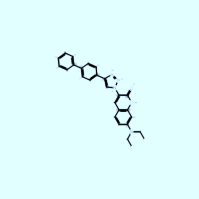 CCN(CC)c1ccc2cc(-n3cc(-c4ccc(-c5ccccc5)cc4)nn3)c(=O)oc2c1